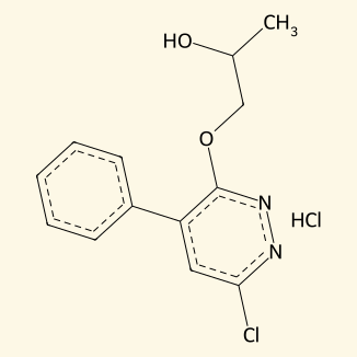 CC(O)COc1nnc(Cl)cc1-c1ccccc1.Cl